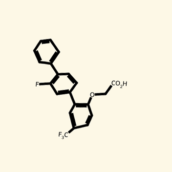 O=C(O)COc1ccc(C(F)(F)F)cc1-c1ccc(-c2ccccc2)c(F)c1